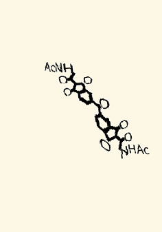 CC(=O)NCC(=O)C1C(=O)c2ccc(C(=O)c3ccc4c(c3)C(=O)C(C(=O)CNC(C)=O)C4=O)cc2C1=O